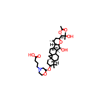 CC(=O)O[C@@H](C1C[C@@H](C)[C@H]2C(O1)[C@H](O)[C@@]1(C)C3CC[C@H]4C(C)(C)[C@@H](O[C@H]5CN(CCCC(=O)O)CCO5)CC[C@@]45CC35CC[C@]21C)C(C)(C)O